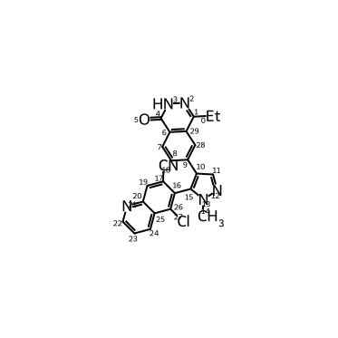 CCc1n[nH]c(=O)c2ccc(-c3cnn(C)c3-c3c(C#N)cc4ncccc4c3Cl)cc12